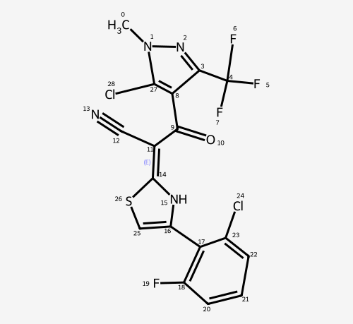 Cn1nc(C(F)(F)F)c(C(=O)/C(C#N)=C2\NC(c3c(F)cccc3Cl)=CS2)c1Cl